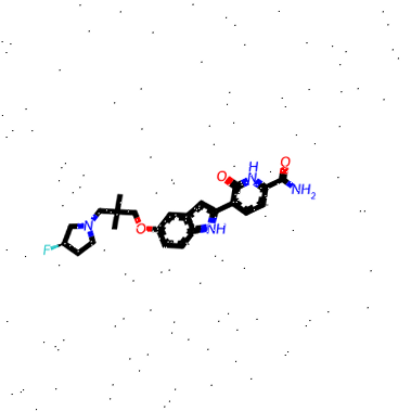 CC(C)(COc1ccc2[nH]c(-c3c[c]c(C(N)=O)[nH]c3=O)cc2c1)CN1CC[C@@H](F)C1